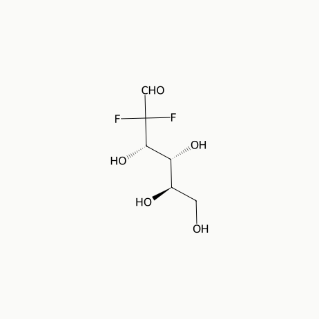 O=CC(F)(F)[C@@H](O)[C@H](O)[C@H](O)CO